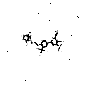 Cn1nnc2c(C#N)nc(-c3ccc(CCCN4C[C@@H]5C[C@H]4CN5)c(C(F)(F)F)c3)cc21